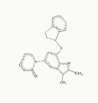 Cc1nc2c(OC3CCc4ccccc43)cc(-n3ccccc3=O)cn2c1C